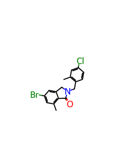 Cc1cc(Cl)ccc1CN1Cc2cc(Br)cc(C)c2C1=O